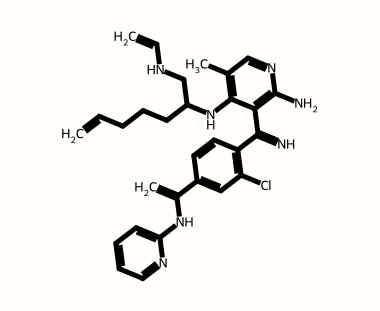 C=CCCCC(CNC=C)Nc1c(C)cnc(N)c1C(=N)c1ccc(C(=C)Nc2ccccn2)cc1Cl